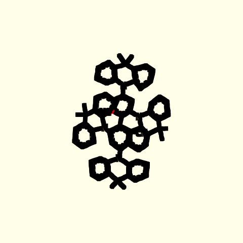 CC1(C)c2ccccc2N(c2cc(C#N)c(-c3c(C#N)cc(N4c5ccccc5C(C)(C)c5ccccc54)cc3N3c4ccccc4C(C)(C)c4ccccc43)c(N3c4ccccc4C(C)(C)c4ccccc43)c2)c2ccccc21